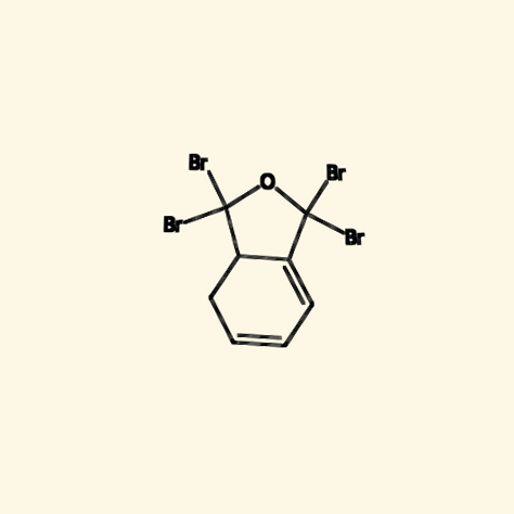 BrC1(Br)OC(Br)(Br)C2CC=CC=C21